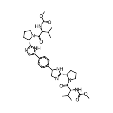 COC(=O)N[C@H](C(=O)N1CCC[C@H]1C1=NCC(c2ccc(-c3cnc([C@@H]4CCCN4C(=O)[C@@H](NC(=O)OC)C(C)C)[nH]3)cc2)N1)C(C)C